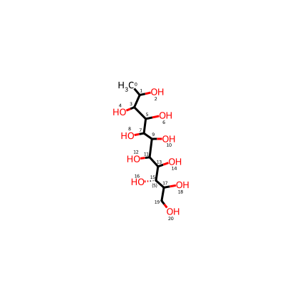 CC(O)C(O)C(O)C(O)C(O)C(O)C(O)[C@@H](O)C(O)CO